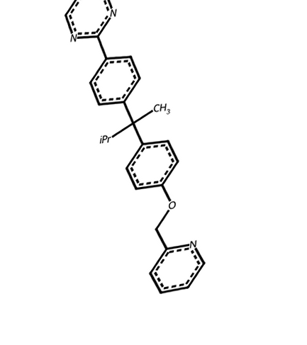 CC(C)C(C)(c1ccc(OCc2ccccn2)cc1)c1ccc(-c2ncccn2)cc1